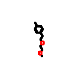 COCCOCCc1ccc(C)cc1